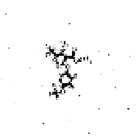 COC(=O)c1c(Oc2ccc(OC(F)(F)F)c(F)c2F)nnc(C(F)(F)F)c1C